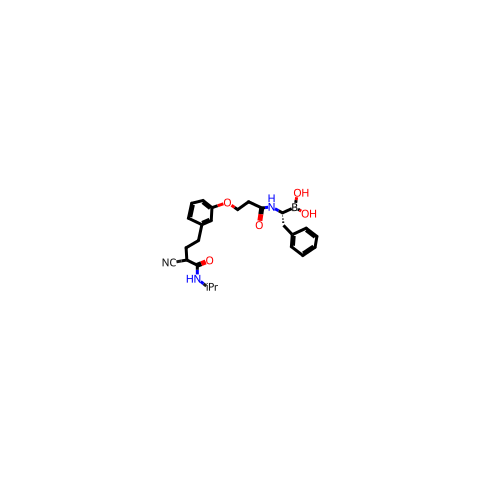 CC(C)NC(=O)C(C#N)CCc1cccc(OCCC(=O)N[C@@H](Cc2ccccc2)B(O)O)c1